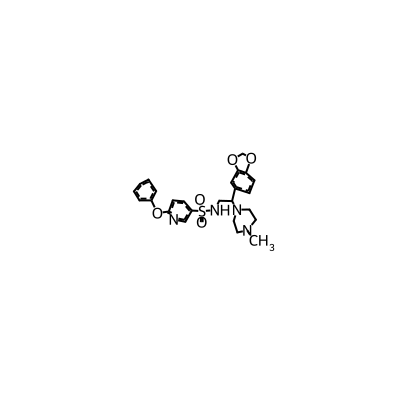 CN1CCN(C(CNS(=O)(=O)c2ccc(Oc3ccccc3)nc2)c2ccc3c(c2)OCO3)CC1